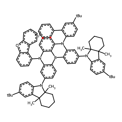 Cc1cc2c3c(c1)N(c1cccc4oc5ccccc5c14)c1cc(N4c5ccc(C(C)(C)C)cc5C5(C)CCCCC45C)ccc1B3c1ccc(N3c4ccc(C(C)(C)C)cc4C4(C)CCCCC34C)cc1N2c1ccc(C(C)(C)C)cc1-c1ccccc1